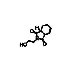 O=C1C2C=CCC[C@H]2C(=O)N1CCO